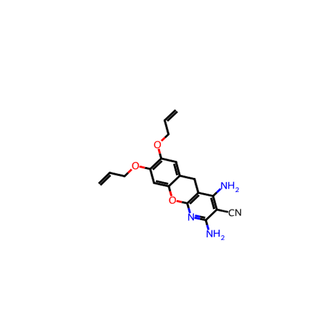 C=CCOc1cc2c(cc1OCC=C)Oc1nc(N)c(C#N)c(N)c1C2